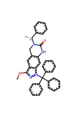 COc1nn(C(c2ccccc2)(c2ccccc2)c2ccccc2)c2cc3c(cc12)CN([C@H](C)c1ccccc1)C(=O)N3